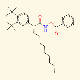 CCCCCCCCC=C(C(=O)NOC(=O)c1ccccc1)c1ccc2c(c1)C(C)(C)CCC2(C)C